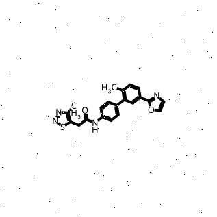 Cc1ccc(-c2ncco2)cc1-c1ccc(NC(=O)Cc2snnc2C)cc1